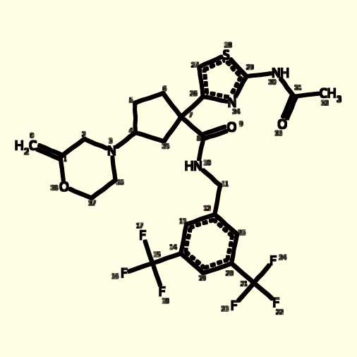 C=C1CN(C2CCC(C(=O)NCc3cc(C(F)(F)F)cc(C(F)(F)F)c3)(c3csc(NC(C)=O)n3)C2)CCO1